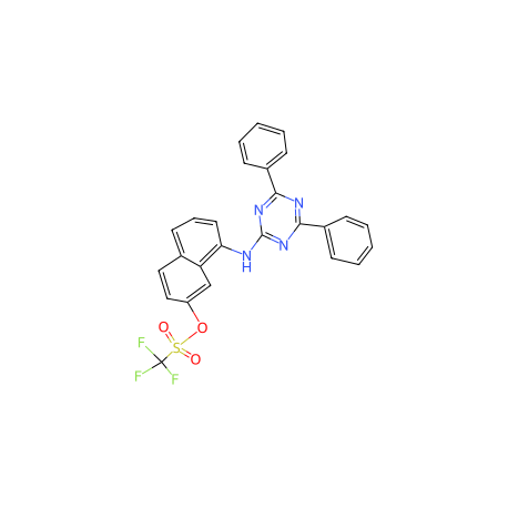 O=S(=O)(Oc1ccc2cccc(Nc3nc(-c4ccccc4)nc(-c4ccccc4)n3)c2c1)C(F)(F)F